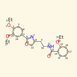 CCOc1ccc(-c2nc(CCNC(=O)c3ccccc3OCC)co2)cc1OCC